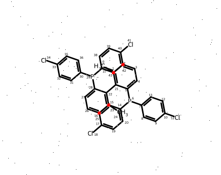 Cc1cccc(P(c2ccc(Cl)cc2)c2ccc(Cl)cc2)c1-c1c(C)cccc1P(c1ccc(Cl)cc1)c1ccc(Cl)cc1